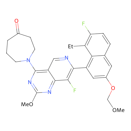 CCc1c(F)ccc2cc(OCOC)cc(-c3ncc4c(N5CCCC(=O)CC5)nc(OC)nc4c3F)c12